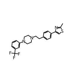 Cc1nc(-c2ccc(CCN3CCN(c4cccc(C(F)(F)F)c4)CC3)cc2)cs1